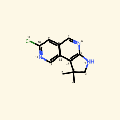 CC1(C)CNc2ncc3cc(Cl)ncc3c21